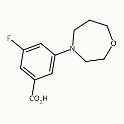 O=C(O)c1cc(F)cc(N2CCCOCC2)c1